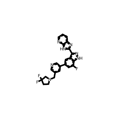 Fc1cc(-c2cncc(CN3CCC(F)(F)C3)c2)cc2c(-c3nc4cccnc4[nH]3)n[nH]c12